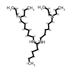 CCCCCC(NCCCCCC[16N](CCC)CCC)NCCCCCC[16N](CCC)CCC